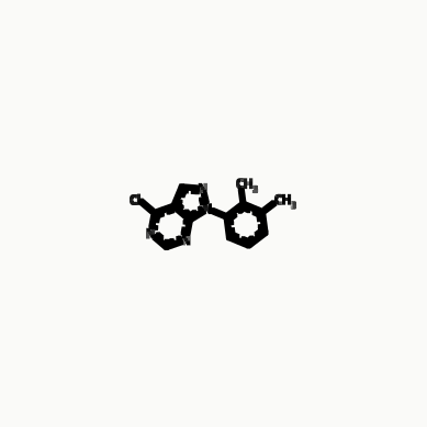 Cc1cccc(-n2ncc3c(Cl)ncnc32)c1C